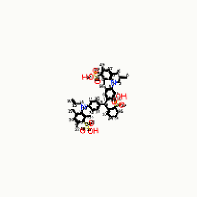 C=CCN(c1ccc(C(c2ccc(N(CC=C)c3c(C)cc(C)c(S(=O)(=O)O)c3C)cc2)c2ccccc2S(=O)(=O)O)cc1)c1c(C)cc(C)c(S(=O)(=O)O)c1C